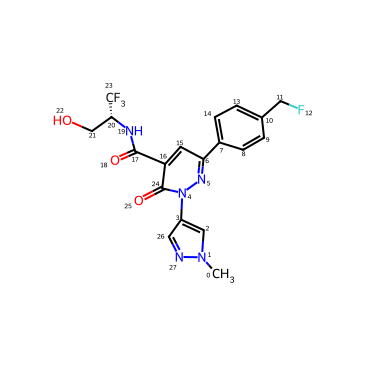 Cn1cc(-n2nc(-c3ccc(CF)cc3)cc(C(=O)N[C@H](CO)C(F)(F)F)c2=O)cn1